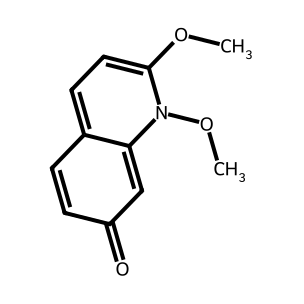 COc1ccc2ccc(=O)cc-2n1OC